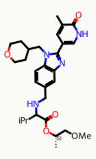 COC[C@H](C)OC(=O)C(NCc1ccc2c(c1)nc(-c1c[nH]c(=O)c(C)c1)n2CC1CCOCC1)C(C)C